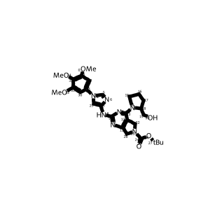 COc1cc(-n2cnc(Nc3nc4c(c(N5CCCC5CO)n3)CN(C(=O)OC(C)(C)C)C4)c2)cc(OC)c1OC